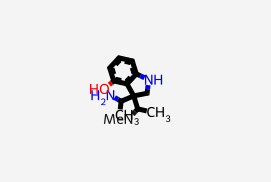 CNC(C)C1(C(C)N)CNc2cccc(O)c21